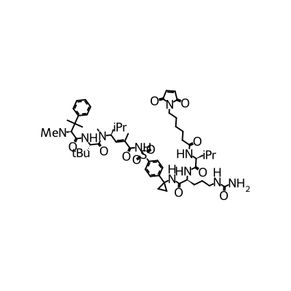 CN[C@H](C(=O)N[C@H](C(=O)N(C)[C@H](/C=C(\C)C(=O)NS(=O)(=O)c1ccc(C2(NC(=O)[C@H](CCCNC(N)=O)NC(=O)[C@@H](NC(=O)CCCCCN3C(=O)C=CC3=O)C(C)C)CC2)cc1)C(C)C)C(C)(C)C)C(C)(C)c1ccccc1